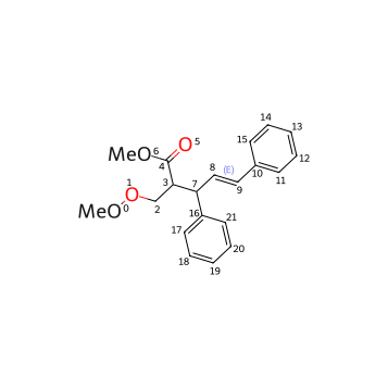 COOCC(C(=O)OC)C(/C=C/c1ccccc1)c1ccccc1